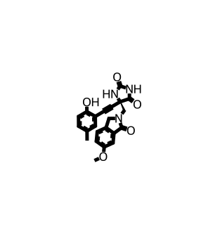 COc1ccc2c(c1)C(=O)N(C[C@@]1(C#Cc3cc(C)ccc3O)NC(=O)NC1=O)C2